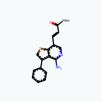 CNC(=O)C=Cc1cnc(N)c2c(-c3ccccc3)csc12